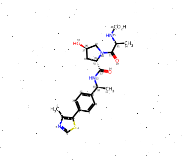 Cc1ncsc1-c1ccc([C@H](C)NC(=O)[C@@H]2C[C@@H](O)CN2C(=O)C(C)NC(=O)O)cc1